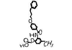 CCc1ccc(OCC(=O)O)c(NC(=O)c2ccc(OCCCCc3ccccc3)cc2)c1